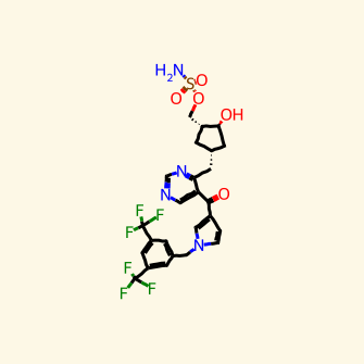 NS(=O)(=O)OC[C@H]1C[C@@H](Cc2ncncc2C(=O)c2ccn(Cc3cc(C(F)(F)F)cc(C(F)(F)F)c3)c2)C[C@@H]1O